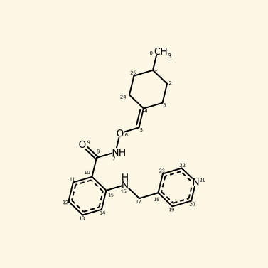 CC1CCC(=CONC(=O)c2ccccc2NCc2ccncc2)CC1